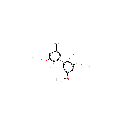 COc1cc(C(C)=O)cc(-c2cc(C(=O)O)cc(OC)c2OC)c1OC